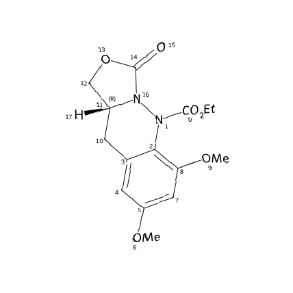 CCOC(=O)N1c2c(cc(OC)cc2OC)C[C@@H]2COC(=O)N21